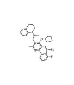 CCC(=O)c1c(F)cccc1-c1cc(OC2CCCC2)c(CN(C)C2CCCc3ccccc32)c(C)n1